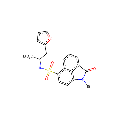 CCOC(=O)C(Cc1ccco1)NS(=O)(=O)c1ccc2c3c(cccc13)C(=O)N2CC